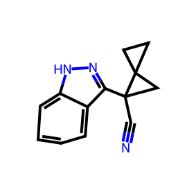 N#CC1(c2n[nH]c3ccccc23)CC12CC2